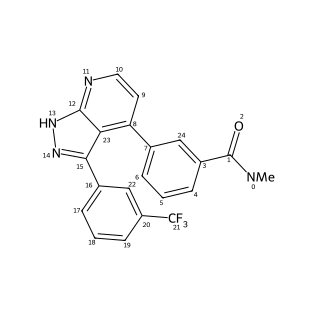 CNC(=O)c1cccc(-c2ccnc3[nH]nc(-c4cccc(C(F)(F)F)c4)c23)c1